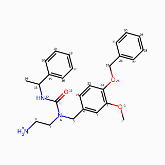 COc1cc(CN(CCN)C(=O)NC(C)c2ccccc2)ccc1OCc1ccccc1